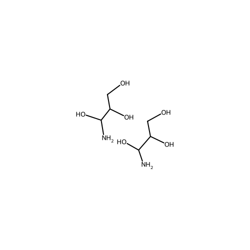 NC(O)C(O)CO.NC(O)C(O)CO